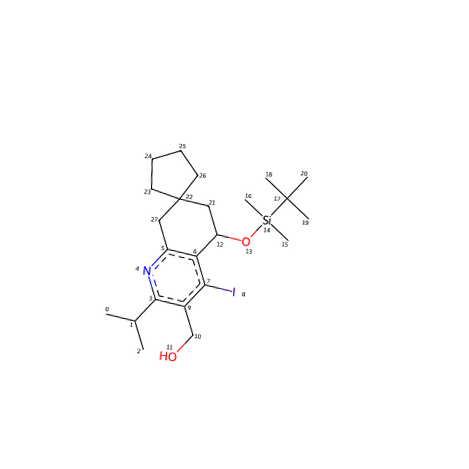 CC(C)c1nc2c(c(I)c1CO)C(O[Si](C)(C)C(C)(C)C)CC1(CCCC1)C2